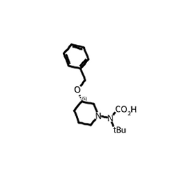 CC(C)(C)N(C(=O)O)N1CCC[C@H](OCc2ccccc2)C1